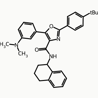 CN(C)c1cccc(-c2oc(-c3ccc(C(C)(C)C)cc3)nc2C(=O)NC2CCCc3ccccc32)c1